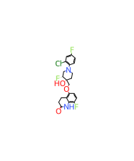 O=C1CCc2c(OC[C@]3(O)CCN(c4ccc(F)cc4Cl)C[C@H]3F)ccc(F)c2N1